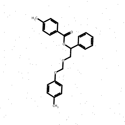 Cc1ccc(OCOCC(OC(=O)c2ccc(C)cc2)c2ccccc2)cc1